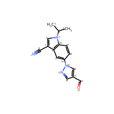 CC(C)n1cc(C#N)c2cc(-n3cc(C=O)cn3)ccc21